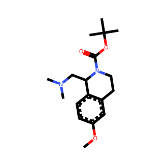 COc1ccc2c(c1)CCN(C(=O)OC(C)(C)C)C2CN(C)C